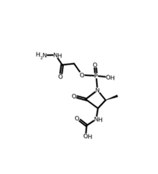 C[C@H]1C(NC(=O)O)C(=O)N1P(=O)(O)OCC(=O)NN